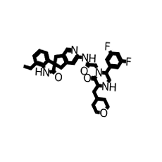 CCc1cccc2c1NC(=O)C21Cc2cnc(NC(=O)CN3C(=O)C(CC4CCOCC4)NCC3c3cc(F)cc(F)c3)cc2C1